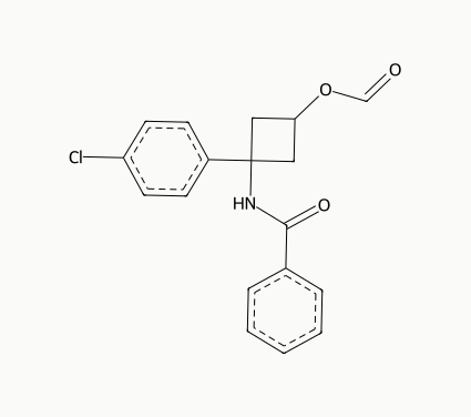 O=COC1CC(NC(=O)c2ccccc2)(c2ccc(Cl)cc2)C1